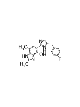 Cc1nc2c(O)c(-c3ncc(Cc4ccc(F)cc4)[nH]3)cc(C)c2[nH]1